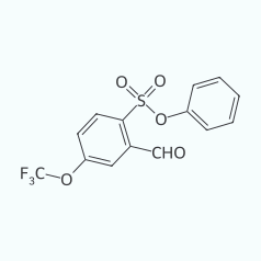 O=Cc1cc(OC(F)(F)F)ccc1S(=O)(=O)Oc1ccccc1